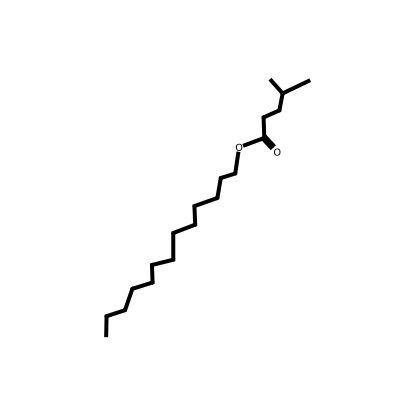 CCCCCCCCCCCCCOC(=O)CCC(C)C